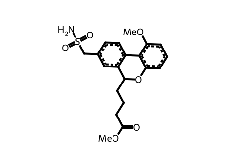 COC(=O)CCCC1Oc2cccc(OC)c2-c2ccc(CS(N)(=O)=O)cc21